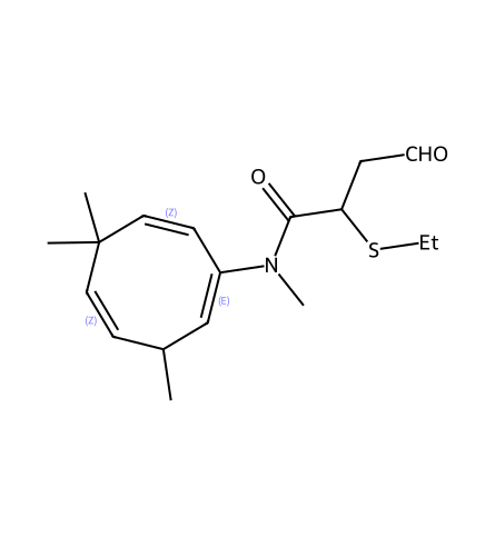 CCSC(CC=O)C(=O)N(C)C1=C/C(C)/C=C\C(C)(C)/C=C\1